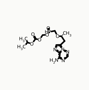 CC(C)OC(=O)OCO[PH](=O)CO[C@H](C)Cc1cnc2c(N)ncnn12